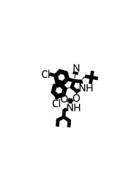 CCC(CC)CNC(=O)O[C@H]1N[C@@H](CC(C)(C)C)[C@](C#N)(c2ccc(Cl)cc2)[C@H]1c1cccc(Cl)c1